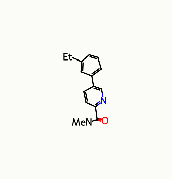 CCc1cccc(-c2ccc(C(=O)NC)nc2)c1